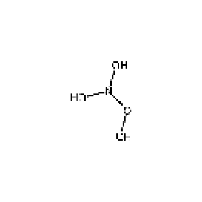 OON(O)O